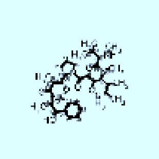 CCC(C)[C@@H](C(CC(=O)N1CCC[C@H]1[C@H](OC)[C@@H](C)C(=O)N[C@H](C)C(O)c1ccccc1)OC)N(C)C(=O)[C@@H](NC)C(C)C